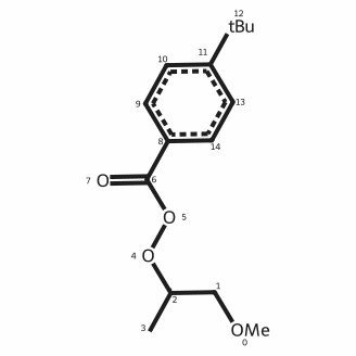 COC[C](C)OOC(=O)c1ccc(C(C)(C)C)cc1